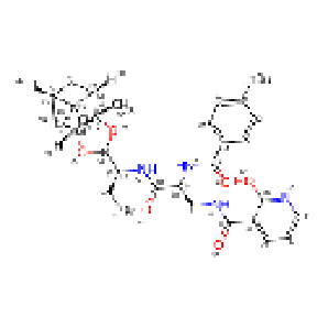 CCCCc1ccc(C(=O)N[C@@H](CNC(=O)c2cccnc2O)C(=O)N[C@@H](CC(C)C)B2O[C@@H]3C[C@@H]4C[C@@H](C4(C)C)[C@]3(C)O2)cc1